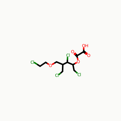 O=C(O)C(=O)OC(CCl)C(Cl)C(CCl)COCCCl